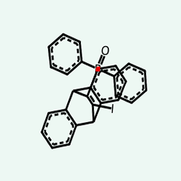 O=P(C1=C(I)C2c3ccccc3C1c1ccccc12)(c1ccccc1)c1ccccc1